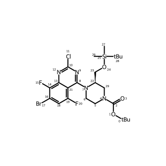 CC(C)(C)OC(=O)N1CCN(c2nc(Cl)nc3c(F)c(Br)cc(F)c23)[C@@H](CO[Si](C)(C)C(C)(C)C)C1